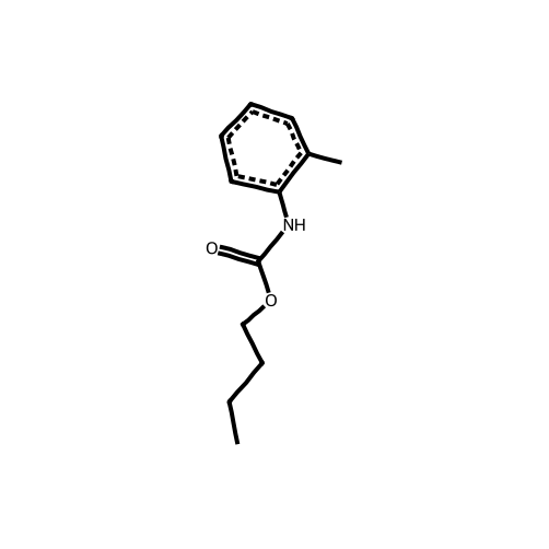 CCCCOC(=O)Nc1ccccc1C